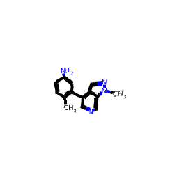 Cc1ccc(N)cc1-c1cncc2c1cnn2C